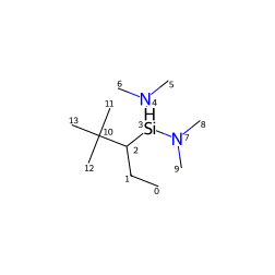 CCC([SiH](N(C)C)N(C)C)C(C)(C)C